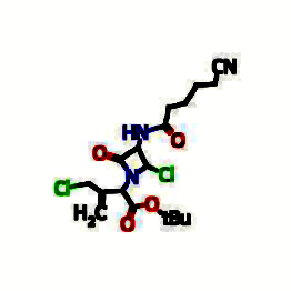 C=C(CCl)C(C(=O)OC(C)(C)C)N1C(=O)C(NC(=O)CCCCC#N)C1Cl